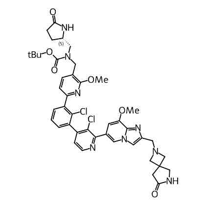 COc1nc(-c2cccc(-c3ccnc(-c4cc(OC)c5nc(CN6CC7(CNC(=O)C7)C6)cn5c4)c3Cl)c2Cl)ccc1CN(C[C@@H]1CCC(=O)N1)C(=O)OC(C)(C)C